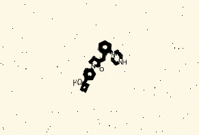 O=C1C(Cc2ccccc2N2CCNCC2)CCN1c1ccc(C2(O)CCC2)cc1